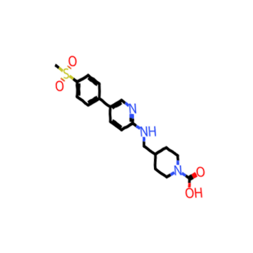 CS(=O)(=O)c1ccc(-c2ccc(NCC3CCN(C(=O)O)CC3)nc2)cc1